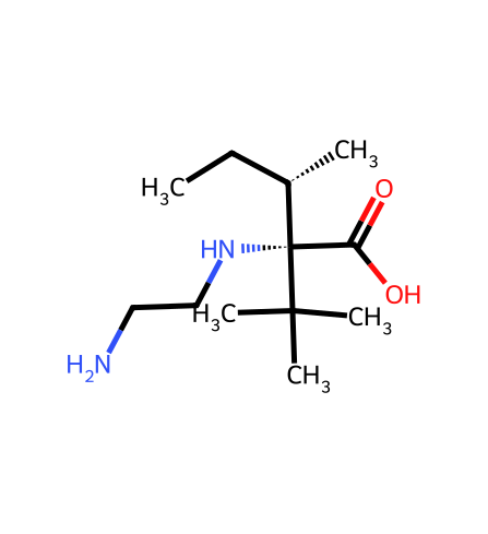 CC[C@H](C)[C@@](NCCN)(C(=O)O)C(C)(C)C